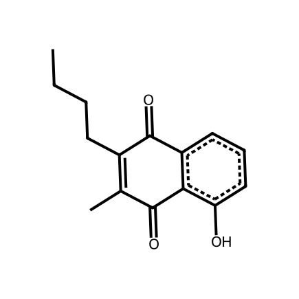 CCCCC1=C(C)C(=O)c2c(O)cccc2C1=O